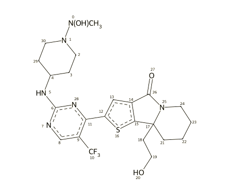 CN(O)N1CCC(Nc2ncc(C(F)(F)F)c(-c3cc4c(s3)C3(CCO)CCCCN3C4=O)n2)CC1